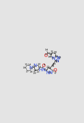 COc1nnc(NC(=O)c2cnc(N3CCCCC3)c(C)c2)cc1C#Cc1nnc2ccc(C(C)=O)cn12